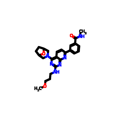 CNC(=O)c1cccc(-c2ccc3c(N4CC5CCC(C4)O5)nc(NCCCOC)nc3n2)c1